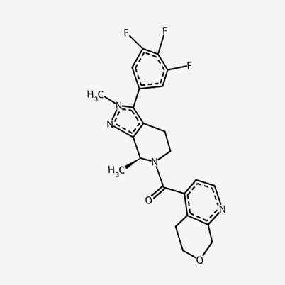 C[C@H]1c2nn(C)c(-c3cc(F)c(F)c(F)c3)c2CCN1C(=O)c1ccnc2c1CCOC2